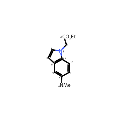 CCOC(=O)Cn1ccc2cc(NC)ccc21